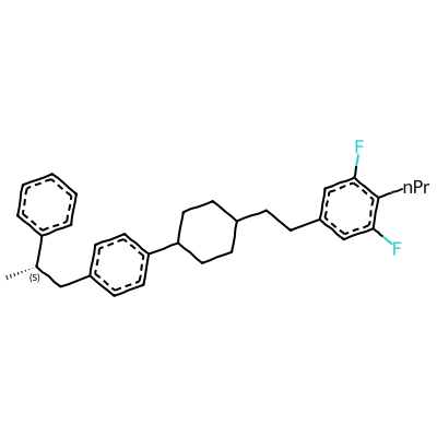 CCCc1c(F)cc(CCC2CCC(c3ccc(C[C@H](C)c4ccccc4)cc3)CC2)cc1F